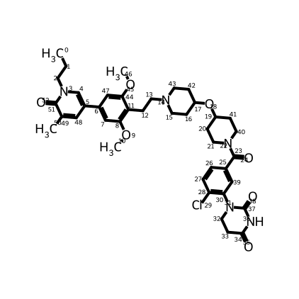 CCCn1cc(-c2cc(OC)c(CCN3CCC(OC4CCN(C(=O)c5ccc(Cl)c(N6CCC(=O)NC6=O)c5)CC4)CC3)c(OC)c2)cc(C)c1=O